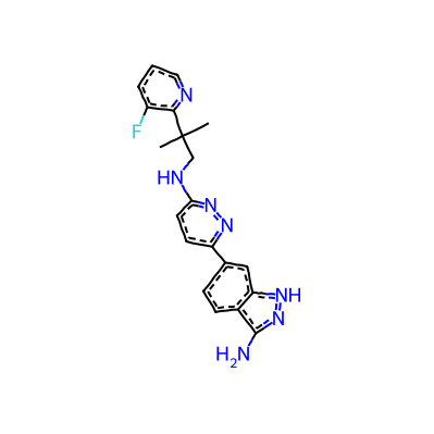 CC(C)(CNc1ccc(-c2ccc3c(N)n[nH]c3c2)nn1)c1ncccc1F